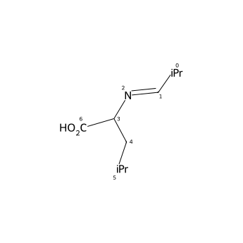 CC(C)C=NC(CC(C)C)C(=O)O